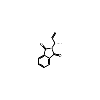 C=C[C@H](C)N1C(=O)c2ccccc2C1=O